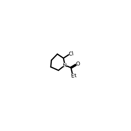 CCC(=O)N1CCCCC1Cl